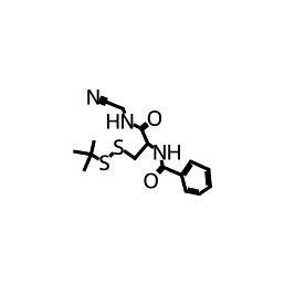 CC(C)(C)SSCC(NC(=O)c1ccccc1)C(=O)NCC#N